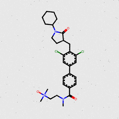 CN(CC[N+](C)(C)[O-])C(=O)c1ccc(-c2cc(Cl)c(CC3CCN(C4CCCCC4)C3=O)c(Cl)c2)cc1